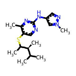 Cc1nc(Nc2cnn(C)c2)ncc1SC(C)[C@@H](C)C(C)C